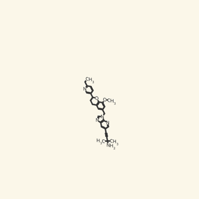 CCc1ccc(C2CCc3cc(Cn4cnc5cc(C#CC(C)(C)N)cnc54)cc(OC)c3O2)cn1